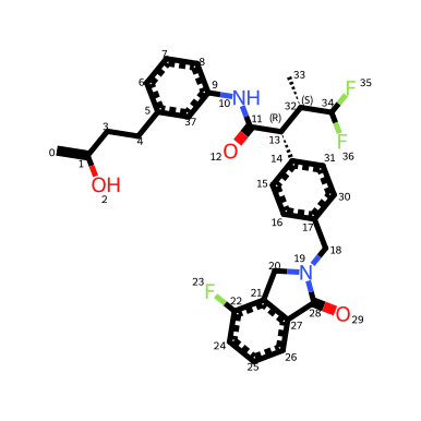 C=C(O)CCc1cccc(NC(=O)[C@@H](c2ccc(CN3Cc4c(F)cccc4C3=O)cc2)[C@H](C)C(F)F)c1